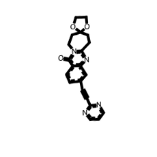 O=c1c2ccc(C#Cc3ncccn3)cc2nc2n1CCC1(CC2)OCCO1